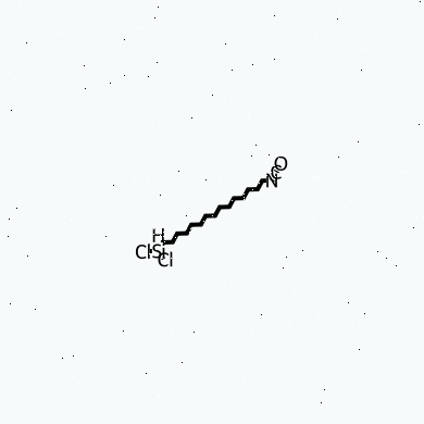 O=C=NCCCCCCCCCCCCCCC[SiH](Cl)Cl